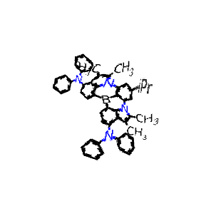 Cc1c(C)n2c3c(ccc(N(c4ccccc4)c4ccccc4)c13)B1c3c-2cc(C(C)C)cc3-n2c(C)c(C)c3c(N(c4ccccc4)c4ccccc4)ccc1c32